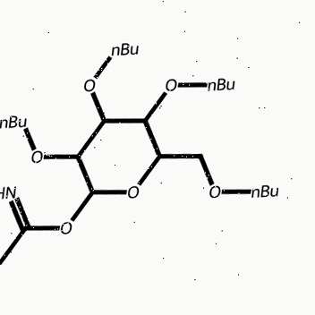 CCCCOCC1OC(OC(C)=N)C(OCCCC)C(OCCCC)C1OCCCC